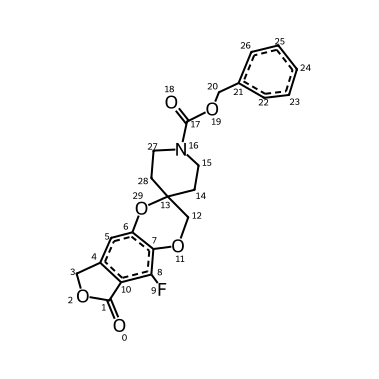 O=C1OCc2cc3c(c(F)c21)OCC1(CCN(C(=O)OCc2ccccc2)CC1)O3